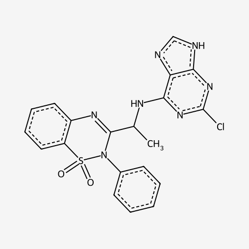 CC(Nc1nc(Cl)nc2[nH]cnc12)C1=Nc2ccccc2S(=O)(=O)N1c1ccccc1